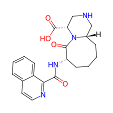 O=C(N[C@H]1CCCC[C@H]2CNC[C@@H](C(=O)O)N2C1=O)c1nccc2ccccc12